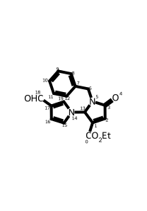 CCOC(=O)C1=CC(=O)N(Cc2ccccc2)C1n1ccc(C=O)c1